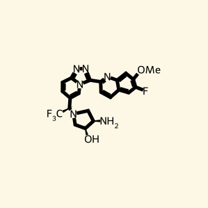 COc1cc2nc(-c3nnc4ccc([C@@H](N5C[C@@H](N)[C@@H](O)C5)C(F)(F)F)cn34)ccc2cc1F